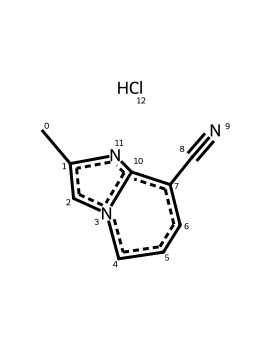 Cc1cn2cccc(C#N)c2n1.Cl